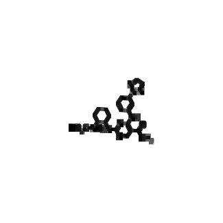 NC(=O)c1cnc(NC2CCCCC2NC(=O)O)nc1Nc1cccc(-n2nccn2)c1